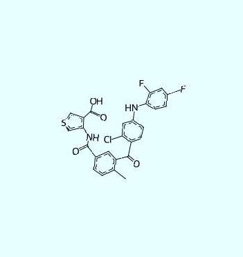 Cc1ccc(C(=O)Nc2cscc2C(=O)O)cc1C(=O)c1ccc(Nc2ccc(F)cc2F)cc1Cl